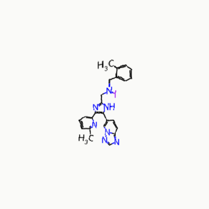 Cc1cccc(-c2nc(CN(I)Cc3ccccc3C)[nH]c2-c2ccc3ncnn3c2)n1